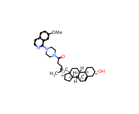 COc1ccc2ccnc(N3CCN(C(=O)CCC(C)[C@H]4CC[C@H]5[C@@H]6CC=C7C[C@@H](O)CC[C@]7(C)[C@H]6CC[C@]45C)CC3)c2c1